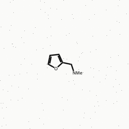 CNCc1cc[c]o1